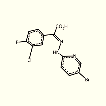 O=C(O)C(=NNc1ccc(Br)cn1)c1ccc(F)c(Cl)c1